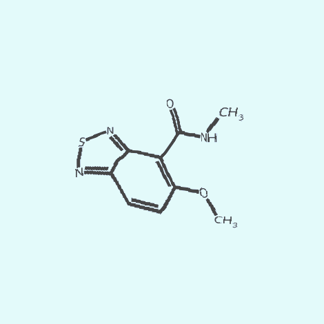 CNC(=O)c1c(OC)ccc2nsnc12